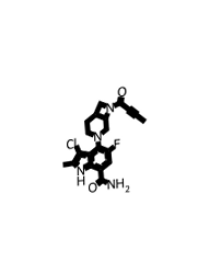 CC#CC(=O)N1CC2CCN(c3c(F)cc(C(N)=O)c4[nH]c(C)c(Cl)c34)CC21